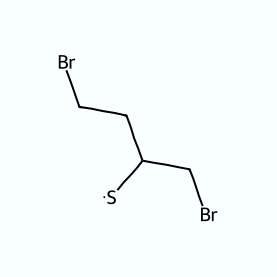 [S]C(CBr)CCBr